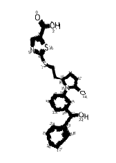 O=C(O)c1cnc(SCC[C@H]2CCC(=O)N2c2cccc(C(O)c3ccccc3)c2)s1